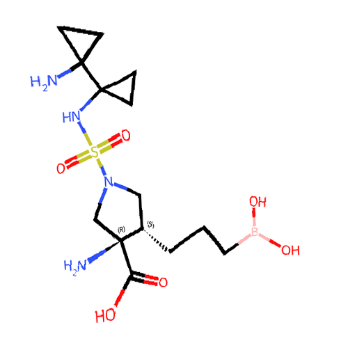 NC1(C2(NS(=O)(=O)N3C[C@H](CCCB(O)O)[C@](N)(C(=O)O)C3)CC2)CC1